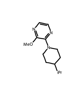 COc1nccnc1N1CCC(C(C)C)CC1